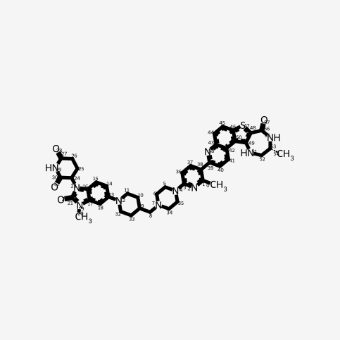 Cc1nc(N2CCN(CC3CCN(c4ccc5c(c4)n(C)c(=O)n5C4CCC(=O)NC4=O)CC3)CC2)ccc1-c1ccc2c(ccc3sc4c(c32)NC[C@@H](C)NC4=O)n1